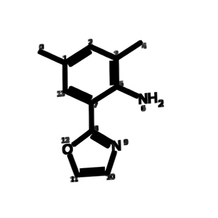 Cc1cc(C)c(N)c(-c2ncco2)c1